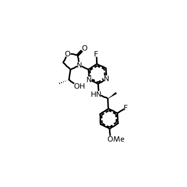 COc1ccc([C@H](C)Nc2ncc(F)c(N3C(=O)OCC3[C@@H](C)O)n2)c(F)c1